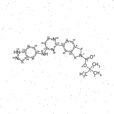 CC(C)(C)OC(=O)N1Cc2ccc(-c3nccc(Nc4ccc5[nH]ncc5c4)n3)cc2C1